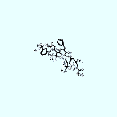 COC(=O)NCC(C)(C)CC(=O)NN(CCC(C)(C)C)CC(O)C(Cc1ccccc1)NC(=O)C(C1CNC(=O)N1Cc1cccc(C(C)(C)O)n1)C(C)(C)C